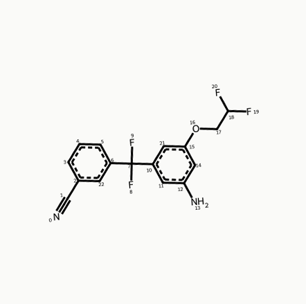 N#Cc1cccc(C(F)(F)c2cc(N)cc(OCC(F)F)c2)c1